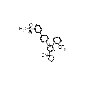 [C-]#[N+]C1(c2cn(-c3ccc(-c4cccc(S(C)(=O)=O)c4)cc3)c(-c3ccccc3C(F)(F)F)n2)CCCC1